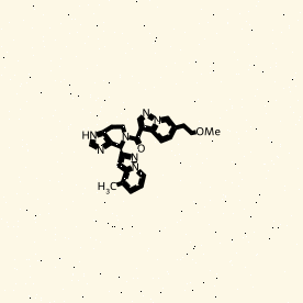 COCCc1ccc2c(C(=O)N3CCc4[nH]cnc4[C@@H]3c3cc4c(C)cccn4n3)cnn2c1